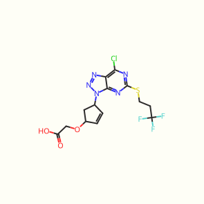 O=C(O)COC1C=CC(n2nnc3c(Cl)nc(SCCC(F)(F)F)nc32)C1